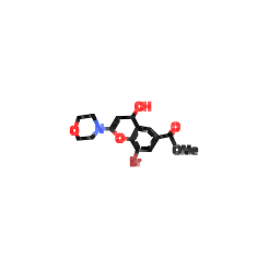 COC(=O)c1cc(Br)c2c(c1)C(O)C=C(N1CCOCC1)O2